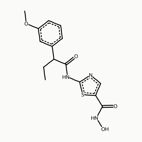 CCC(C(=O)Nc1ncc(C(=O)NO)s1)c1cccc(OC)c1